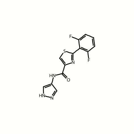 O=C(Nc1cn[nH]c1)c1csc(-c2c(F)cccc2F)n1